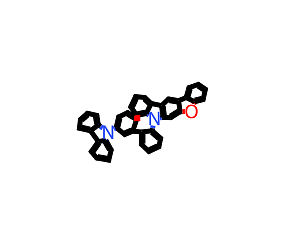 c1cc(-c2ccccc2-n2c3ccccc3c3cc4c(cc32)oc2ccccc24)cc(-n2c3ccccc3c3ccccc32)c1